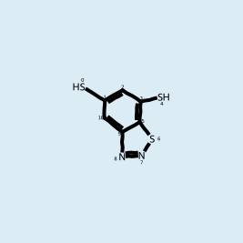 Sc1cc(S)c2snnc2c1